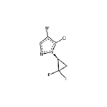 FC1(F)C[C@@H]1n1ncc(Br)c1Cl